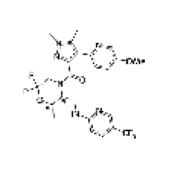 COc1ccc(-c2c(C(=O)N3CC(F)(F)O[C@@H](C)[C@H]3CNc3ccc(C(F)(F)F)cn3)nn(C)c2C)nc1